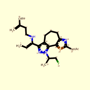 C=C(CCNC(=CC)c1nn(C(C)CF)c2c1CCCc1nc(NC(C)=O)sc1-2)OC